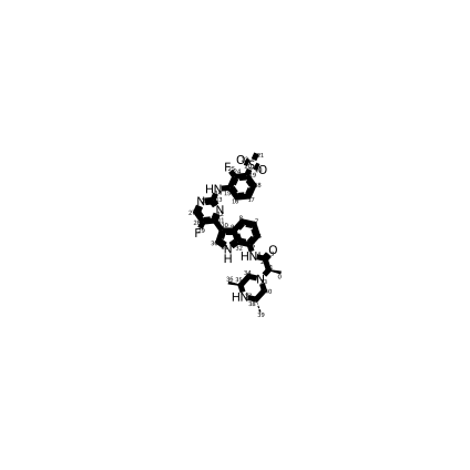 C[C@H](C(=O)Nc1cccc2c(-c3nc(Nc4cccc(S(C)(=O)=O)c4F)ncc3F)c[nH]c12)N1C[C@H](C)N[C@@H](C)C1